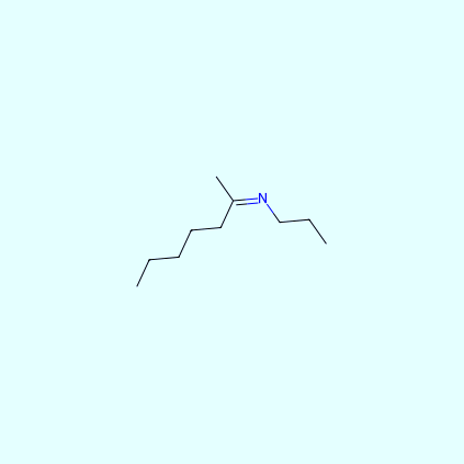 CCCCC/C(C)=N\CCC